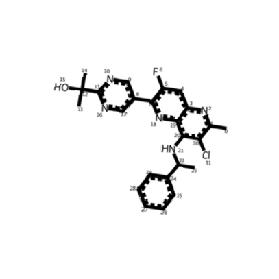 Cc1nc2cc(F)c(-c3cnc(C(C)(C)O)nc3)nc2c(NC(C)c2ccccc2)c1Cl